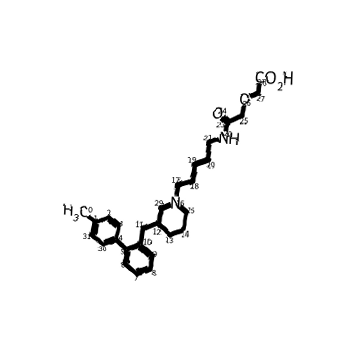 Cc1ccc(-c2ccccc2CC2CCCN(CCCCCNC(=O)COCC(=O)O)C2)cc1